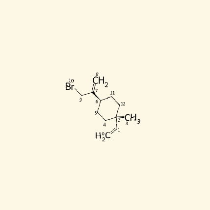 C=C[C@]1(C)CC[C@@H](C(=C)CBr)CC1